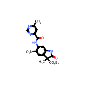 CCOC(=O)C1(C)C(=O)Nc2cc(NC(=O)c3cc(C)ncn3)c([N+](=O)[O-])cc21